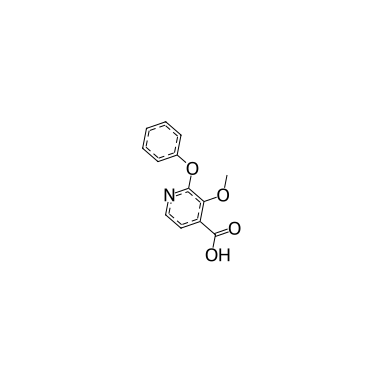 COc1c(C(=O)O)ccnc1Oc1ccccc1